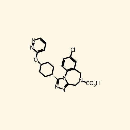 O=C(O)N1Cc2cc(Cl)ccc2-n2c(nnc2[C@H]2CC[C@H](Oc3cccnn3)CC2)C1